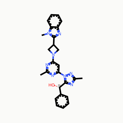 Cc1nc(N2CC(c3nc4ccccc4n3C)C2)cc(-n2nc(C)nc2[C@@H](O)c2ccccc2)n1